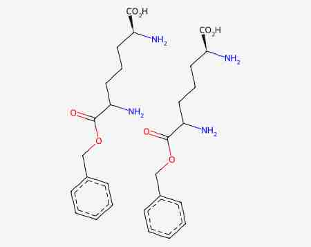 NC(CCC[C@H](N)C(=O)O)C(=O)OCc1ccccc1.NC(CCC[C@H](N)C(=O)O)C(=O)OCc1ccccc1